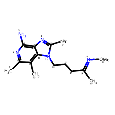 CCCc1nc2c(N)nc(C)c(C)c2n1CCCC(C)=NOC